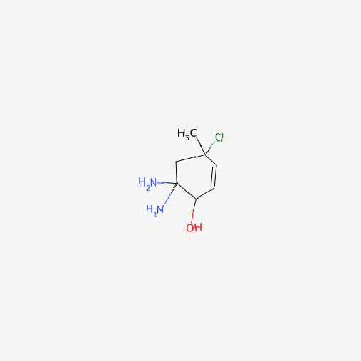 CC1(Cl)C=CC(O)C(N)(N)C1